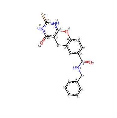 O=C(NCc1ccccc1)c1ccc2c(c1)Cc1c([nH]c(=S)[nH]c1=O)O2